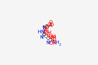 CCCN(CC(=O)Nc1cc(N(C)C)c2c(c1O)C(=O)C1=C(O)[C@]3(O)C(=O)C(C(N)=O)=C(O)[C@@H](N(C)C)C3CC1C2)C(=O)OCc1oc(=O)oc1C